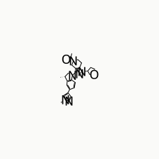 CC(=O)N1CCc2c(c(N3C[C@@H](C)c4cc(-c5cnn(C)c5)ccc43)nn2[C@H]2CCOC2)C1